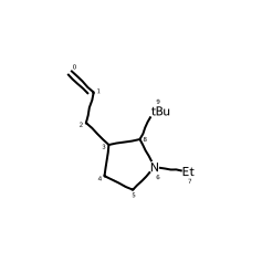 C=CCC1CCN(CC)C1C(C)(C)C